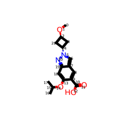 CO[C@H]1C[C@H](n2cc3cc(C(=O)O)c(OC(C)C)cc3n2)C1